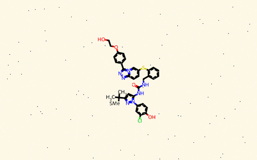 CSC(C)(C)c1cc(NC(=O)NCc2ccccc2Sc2ccc3nnc(-c4ccc(OCCO)cc4)n3c2)n(-c2ccc(O)c(Cl)c2)n1